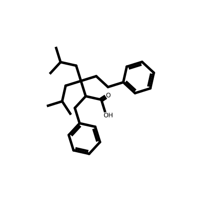 CC(C)CC(CCc1ccccc1)(CC(C)C)C(Cc1ccccc1)C(=O)O